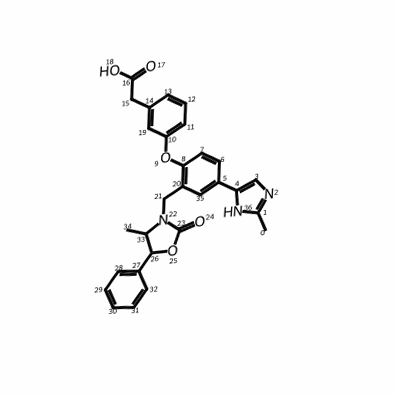 Cc1ncc(-c2ccc(Oc3cccc(CC(=O)O)c3)c(CN3C(=O)OC(c4ccccc4)C3C)c2)[nH]1